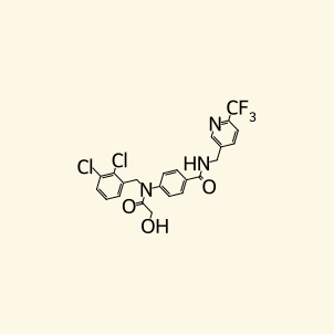 O=C(NCc1ccc(C(F)(F)F)nc1)c1ccc(N(Cc2cccc(Cl)c2Cl)C(=O)CO)cc1